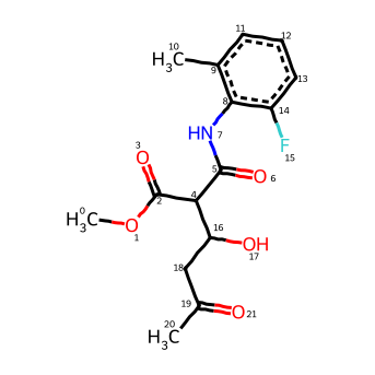 COC(=O)C(C(=O)Nc1c(C)cccc1F)C(O)CC(C)=O